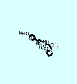 COc1ccc(-c2cc(NC(=O)CC(C)(C)CN3CCCCC3)[nH]n2)cn1